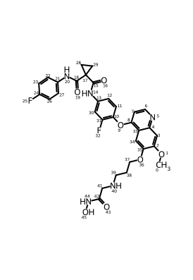 COc1cc2nccc(Oc3ccc(NC(=O)C4(C(=O)Nc5ccc(F)cc5)CC4)cc3F)c2cc1OCCCNCC(=O)NO